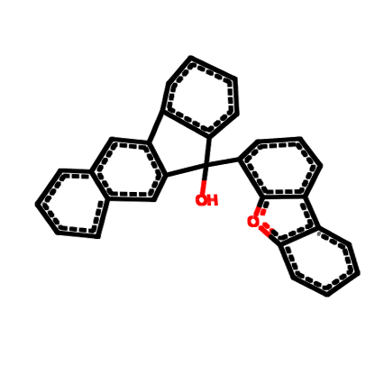 OC1(c2cccc3c2oc2ccccc23)c2ccccc2-c2cc3ccccc3cc21